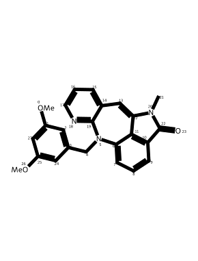 COc1cc(CN2c3cccc4c3C(=Cc3cccnc32)N(C)C4=O)cc(OC)c1